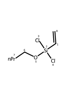 C=C[Si](Cl)(Cl)OCCCC